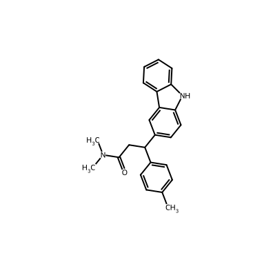 Cc1ccc(C(CC(=O)N(C)C)c2ccc3[nH]c4ccccc4c3c2)cc1